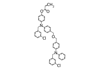 C=CC(=O)Oc1ccc(N(Cc2cccc(Cl)c2)c2ccc(COCc3ccc(N(Cc4cccc(Cl)c4)c4ccccc4)cc3)cc2)cc1